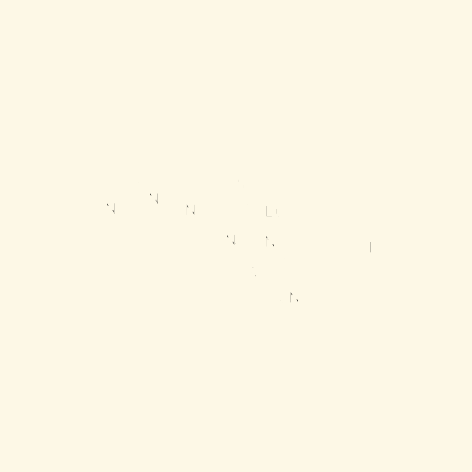 CCc1sc2ccc(N3CCNCC3)nc2c1N(C)c1nc(-c2ccc(F)cc2)c(C#N)s1